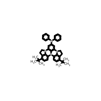 CC(C)(C)c1ccc2c3c1CCN3c1cc(N(c3ccccc3)c3ccccc3)cc3c1B2c1ccc(C(C)(C)C)c2c1N3CC2